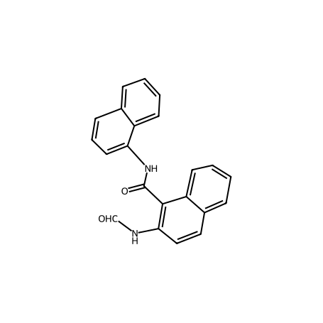 O=CNc1ccc2ccccc2c1C(=O)Nc1cccc2ccccc12